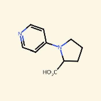 O=C(O)C1CCCN1c1ccncc1